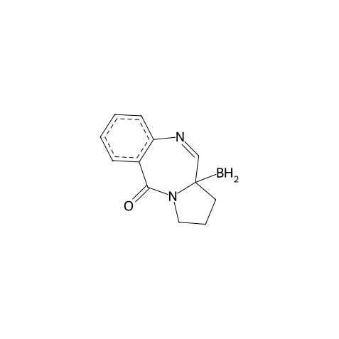 BC12C=Nc3ccccc3C(=O)N1CCC2